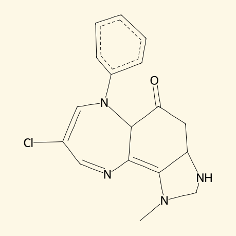 CN1CNC2CC(=O)C3C(=C21)N=CC(Cl)=CN3c1ccccc1